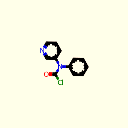 O=C(Cl)N(c1ccccc1)c1cccnc1